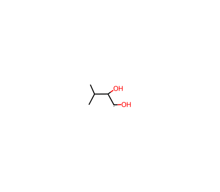 CC(C)C(O)[CH]O